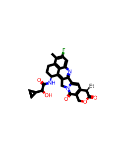 CC[C@H]1C(=O)OCc2c1cc1n(c2=O)Cc2c-1nc1cc(F)c(C)c3c1c2[C@@H](NC(=O)C(O)C1CC1)CC3